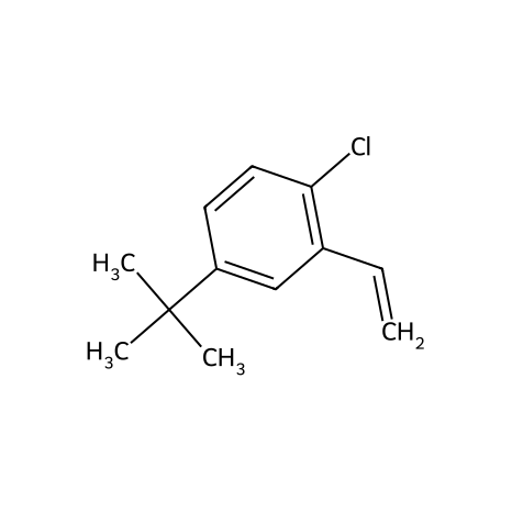 C=Cc1cc(C(C)(C)C)ccc1Cl